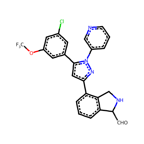 O=CC1NCc2c(-c3cc(-c4cc(Cl)cc(OC(F)(F)F)c4)n(-c4cccnc4)n3)cccc21